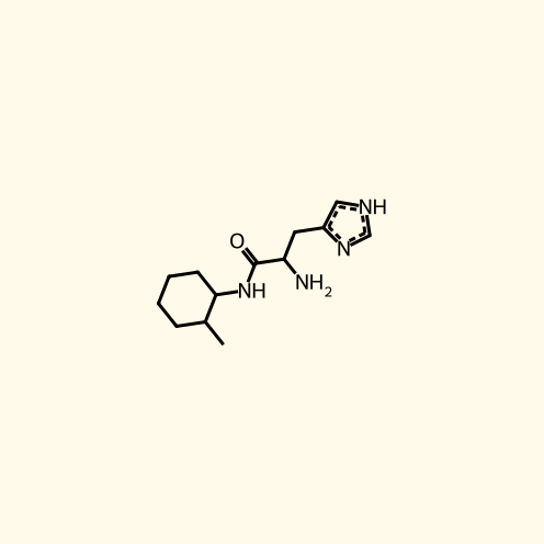 CC1CCCCC1NC(=O)C(N)Cc1c[nH]cn1